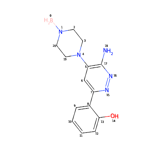 BN1CCN(c2cc(-c3ccccc3O)nnc2N)CC1